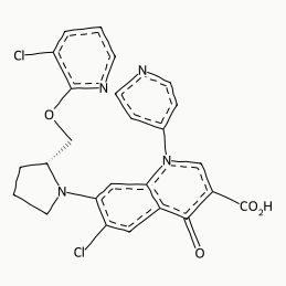 O=C(O)c1cn(-c2ccncc2)c2cc(N3CCC[C@@H]3COc3ncccc3Cl)c(Cl)cc2c1=O